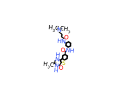 C[C@@H]1CNc2c(sc3ccc(C(=O)Nc4cccc(NC(=O)C=CCN(C)C)c4)cc23)C(=O)N1